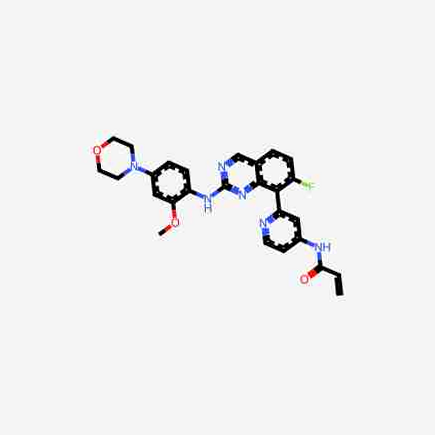 C=CC(=O)Nc1ccnc(-c2c(F)ccc3cnc(Nc4ccc(N5CCOCC5)cc4OC)nc23)c1